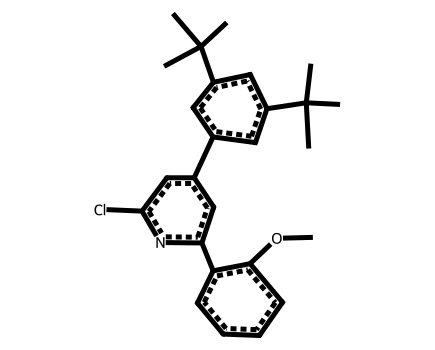 COc1ccccc1-c1cc(-c2cc(C(C)(C)C)cc(C(C)(C)C)c2)cc(Cl)n1